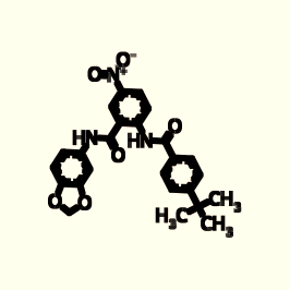 CC(C)(C)c1ccc(C(=O)Nc2ccc([N+](=O)[O-])cc2C(=O)Nc2ccc3c(c2)OCO3)cc1